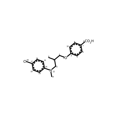 CC(COc1ccc(C(=O)O)cc1)CN(C)c1ccc(Cl)cc1